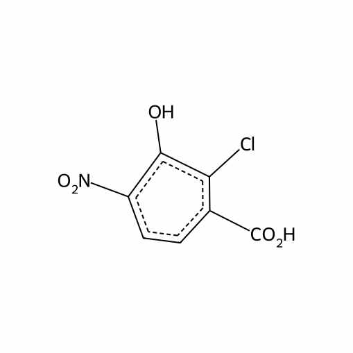 O=C(O)c1ccc([N+](=O)[O-])c(O)c1Cl